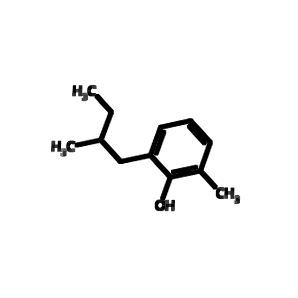 CCC(C)Cc1cccc(C)c1O